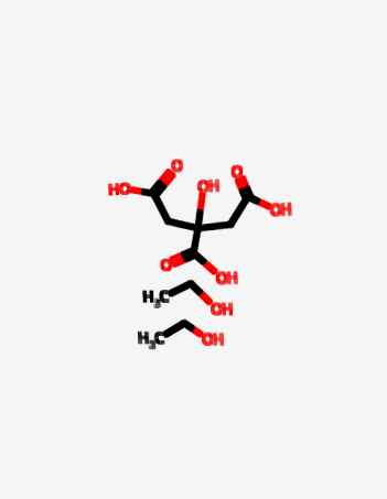 CCO.CCO.O=C(O)CC(O)(CC(=O)O)C(=O)O